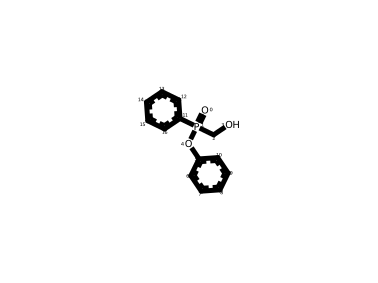 O=P(CO)(Oc1ccccc1)c1ccccc1